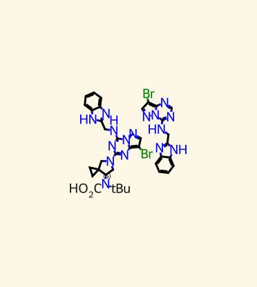 Brc1cnn2c(NCc3nc4ccccc4[nH]3)ncnc12.CC(C)(C)N(C(=O)O)[C@@H]1CN(c2nc(NCc3nc4ccccc4[nH]3)n3ncc(Br)c3n2)CC12CC2